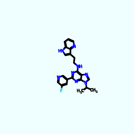 CC(C)n1cnc2c(NCCc3c[nH]c4cccnc34)nc(-c3cncc(F)c3)nc21